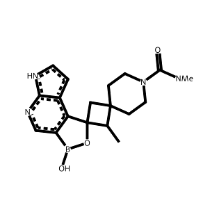 CNC(=O)N1CCC2(CC1)CC1(OB(O)c3cnc4[nH]ccc4c31)C2C